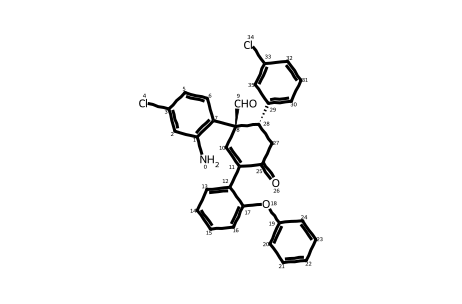 Nc1cc(Cl)ccc1[C@@]1(C=O)C=C(c2ccccc2Oc2ccccc2)C(=O)C[C@H]1c1cccc(Cl)c1